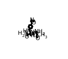 C[C@H](C=O)N(N)c1ncc(C(N)=O)c(Nc2ccc(-c3cnco3)cc2)n1